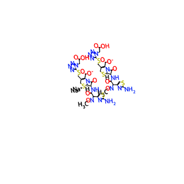 CO/N=C(\C(=O)NC1C(=O)N2C(C(=O)[O-])=C(CSc3nnnn3CC(=O)O)CS[C@H]12)c1csc(N)n1.CO/N=C(\C(=O)NC1C(=O)N2C(C(=O)[O-])=C(CSc3nnnn3CC(=O)O)CS[C@H]12)c1csc(N)n1.[Na+].[Na+]